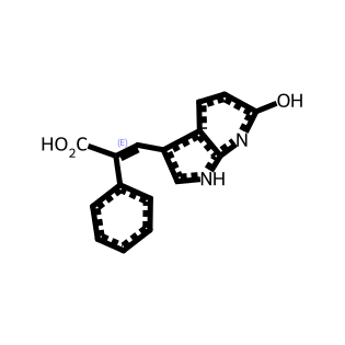 O=C(O)/C(=C/c1c[nH]c2nc(O)ccc12)c1ccccc1